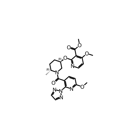 COC(=O)c1c(OC)ccnc1O[C@@H]1CC[C@@H](C)N(C(=O)c2ccc(OC)nc2-n2nccn2)C1